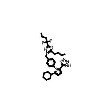 CCCCc1nc(C(F)(F)CCC)nn1Cc1ccc(-n2c(-c3nnn[nH]3)ccc2C2CCCCC2)cc1